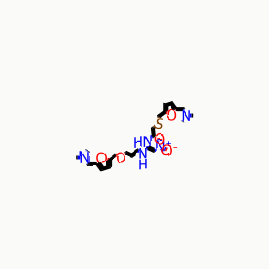 CN(C)Cc1ccc(COCCCNC(=C[N+](=O)[O-])NCCSCc2ccc(CN(C)C)o2)o1